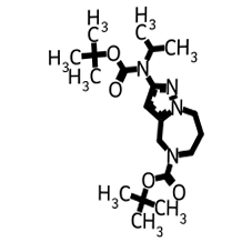 CC(C)N(C(=O)OC(C)(C)C)c1cc2n(n1)CCCN(C(=O)OC(C)(C)C)C2